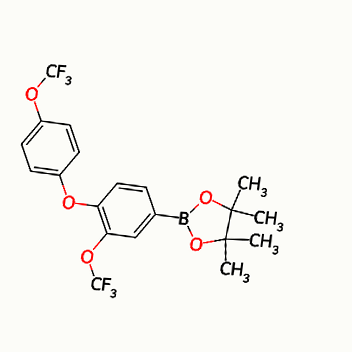 CC1(C)OB(c2ccc(Oc3ccc(OC(F)(F)F)cc3)c(OC(F)(F)F)c2)OC1(C)C